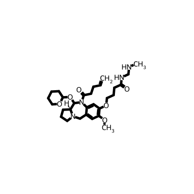 C=CCCC(=O)N1c2cc(OCCCC(=O)NCNC)c(OC)cc2CN2CCC[C@H]2C1OC1CCCCO1